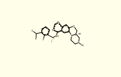 CC(=O)N1CCN2c3cc4c(N[C@H](C)c5cccc(C(F)F)c5F)ncnc4cc3OC[C@H]2C1